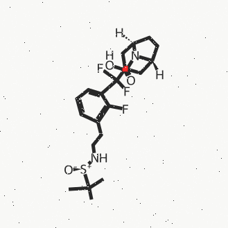 CC(C)(C)[S@@+]([O-])NCCc1cccc(C(F)(F)C2C[C@H]3CC[C@H](C2)N3C(=O)O)c1F